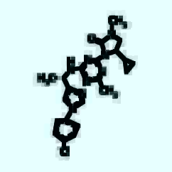 Cc1nc(N[C@@H](C)c2cn(-c3ccc(Cl)cc3)cn2)nc(N2C(=O)N(C)CC2C2CC2)n1